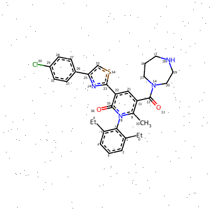 CCc1cccc(CC)c1-n1c(C)c(C(=O)N2CCCNCC2)cc(-c2nc(-c3ccc(Cl)cc3)cs2)c1=O